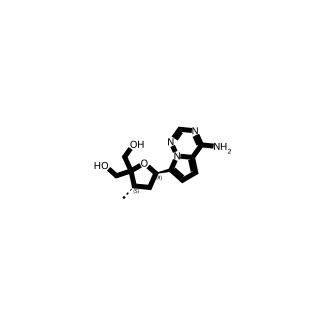 C[C@H]1C[C@H](c2ccc3c(N)ncnn23)OC1(CO)CO